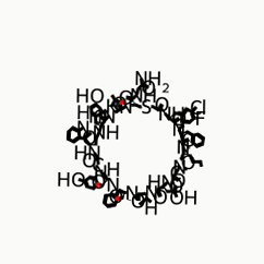 CCCC[C@H]1C(=O)N(C)CC(=O)N[C@@H](CC(=O)O)C(=O)N[C@@H](C(C)C)C(=O)N(C)[C@@H](Cc2ccccc2)C(=O)N[C@@H](Cc2ccc(O)cc2)C(=O)N(C)CC(=O)N[C@@H](Cc2c[nH]c3ccccc23)C(=O)N[C@@H](Cc2ccc(O)cc2)C(=O)N[C@@H](CC(C)C)C(=O)N[C@H](C(=O)NCC(N)=O)CSCC(=O)N[C@@H](Cc2ccc(F)c(Cl)c2)C(=O)N(C)[C@@H](Cc2ccccc2)C(=O)N1C